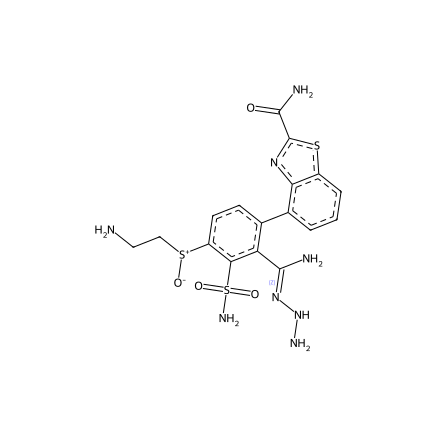 NCC[S+]([O-])c1ccc(-c2cccc3sc(C(N)=O)nc23)c(/C(N)=N/NN)c1S(N)(=O)=O